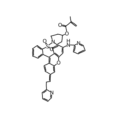 C=C(C)C(=O)OC1CCN(S(=O)(=O)c2ccccc2C2=c3cc/c(=C\Cc4ccccn4)cc3Oc3cc(Nc4ccccn4)ccc32)CC1